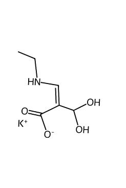 CCNC=C(C(=O)[O-])C(O)O.[K+]